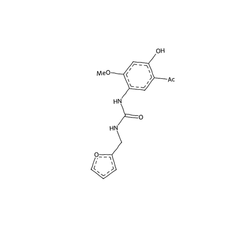 COc1cc(O)c(C(C)=O)cc1NC(=O)NCc1ccco1